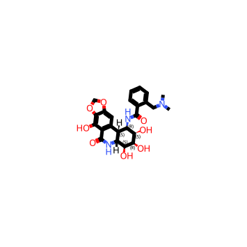 CN(C)Cc1ccccc1C(=O)N[C@H]1[C@H](O)[C@@H](O)[C@@H](O)[C@@H]2NC(=O)c3c(cc4c(c3O)OCO4)[C@@H]12